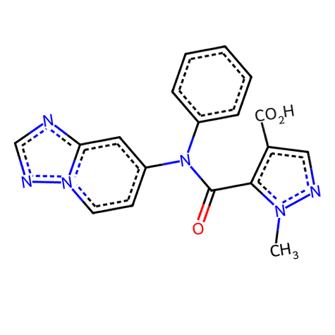 Cn1ncc(C(=O)O)c1C(=O)N(c1ccccc1)c1ccn2ncnc2c1